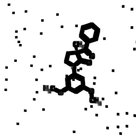 COc1cc(OC)cc(N2CC[C@@](C)(C(=O)c3ccccc3)C2=O)c1